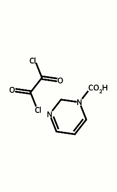 O=C(Cl)C(=O)Cl.O=C(O)N1C=CC=NC1